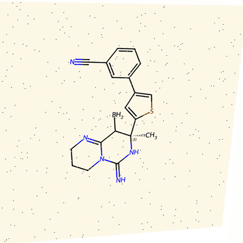 BC1C2=NCCCN2C(=N)N[C@]1(C)c1cc(-c2cccc(C#N)c2)cs1